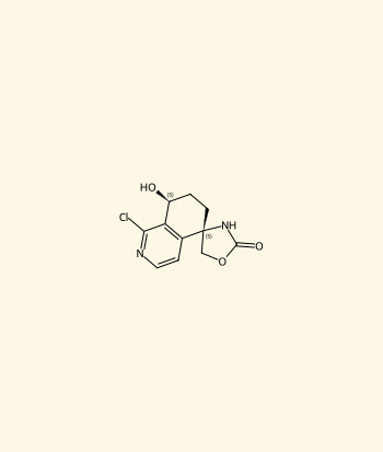 O=C1N[C@]2(CC[C@H](O)c3c2ccnc3Cl)CO1